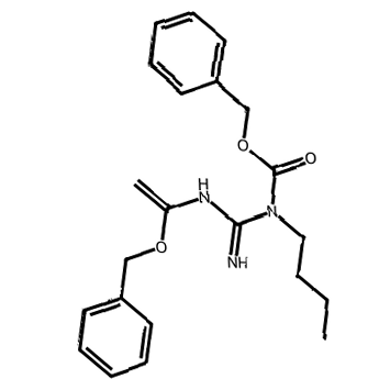 C=C(NC(=N)N(CCCC)C(=O)OCc1ccccc1)OCc1ccccc1